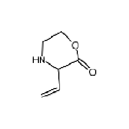 C=CC1NCCOC1=O